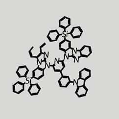 C=Cc1nc2n(-c3cc(-c4cccc(-n5c6ccccc6c6ccccc65)c4)cc(-n4c5ccc([Si](c6ccccc6)(c6ccccc6)c6ccccc6)cc5n5c6ccccc6nc45)n3)c3ccc([Si](c4ccccc4)(c4ccccc4)c4ccccc4)cc3n2c1/C=C\C